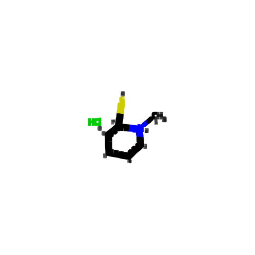 Cl.Cn1ccccc1=S